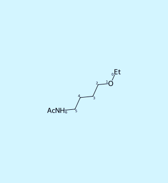 CCOCCCCNC(C)=O